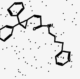 O=C(/C=C\C1CC1(c1ccccc1)c1ccccc1)NCCCCc1cccnc1